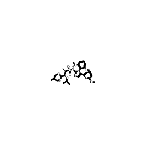 COc1cccc(-c2cnc(NS(=O)(=O)[C@H](C)[C@@H](OC(C)C)c3ncc(C)cn3)n2-c2c(OC)cccc2OC)n1